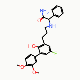 COc1ccc(-c2cc(F)cc(CCCNC(C(N)=O)c3ccccc3)c2O)cc1OC